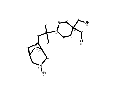 CC(C)(C)N1CC2CC(CC(C)(C)N3CCC(CO)(CCl)CC3)C(C1)O2